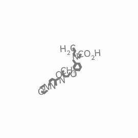 C=CCN(CC(=O)O)Cc1cccc(OCCc2nc(-c3ccc(N4CCOCC4)nc3)oc2C)c1